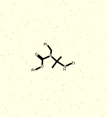 CCNC(C)(C)N(CC(C)C)C(=O)OC(C)C